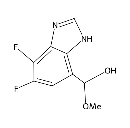 COC(O)c1cc(F)c(F)c2nc[nH]c12